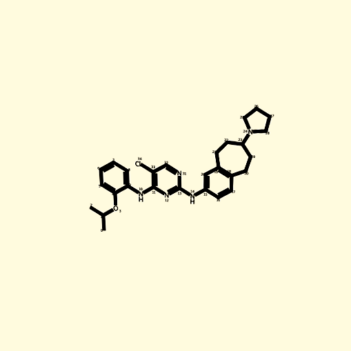 CC(C)Oc1ccccc1Nc1nc(Nc2ccc3c(c2)CCC(N2CCCC2)CC3)ncc1Cl